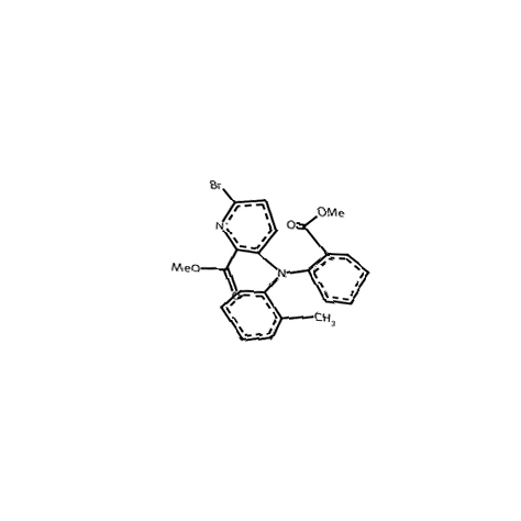 COC(=O)c1ccccc1N(c1ccccc1C)c1ccc(Br)nc1C(=O)OC